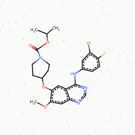 COc1cc2ncnc(Nc3ccc(F)c(Cl)c3)c2cc1OC1CCN(C(=O)OC(C)C)CC1